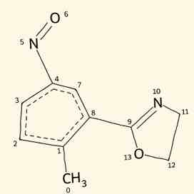 Cc1ccc(N=O)cc1C1=NCCO1